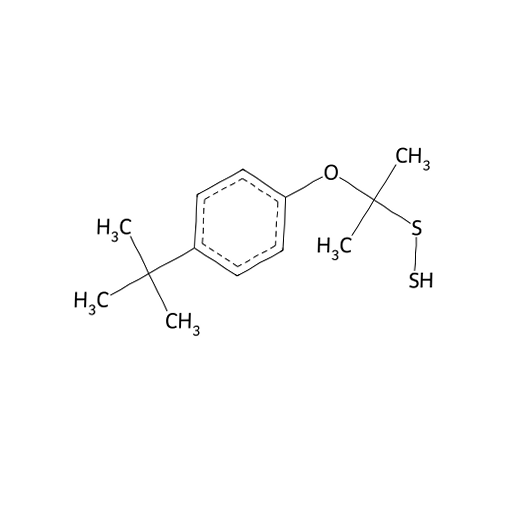 CC(C)(Oc1ccc(C(C)(C)C)cc1)SS